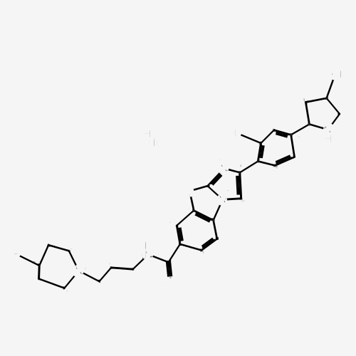 Cl.Cl.O=C(NCCCN1CCC(F)CC1)c1ccc2c(c1)sc1nc(-c3ccc(C4CC(O)CN4)cc3F)cn12